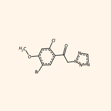 COc1cc(Cl)c(C(=O)Cn2ncnn2)cc1Br